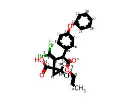 CC=COC(=O)C(C(=C(Br)Br)C1(C(=O)O)CC1(C)C)c1ccc(Oc2ccccc2)cc1